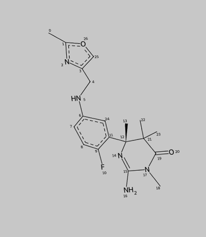 Cc1nc(CNc2ccc(F)c([C@@]3(C)N=C(N)N(C)C(=O)C3(C)C)c2)co1